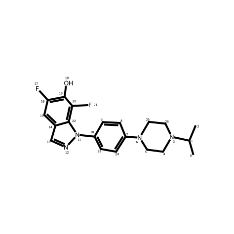 CC(C)N1CCN(c2ccc(-n3ncc4cc(F)c(O)c(F)c43)cc2)CC1